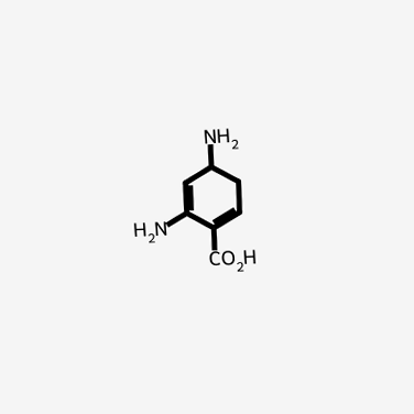 NC1=CC(N)CC=C1C(=O)O